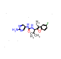 Cc1c(C(NC(=O)Nc2cnc(N)nc2)C(C)C)oc2ccc(F)cc12